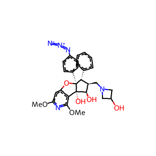 COc1cc2c(c(OC)n1)[C@]1(O)[C@H](O)[C@H](CN3CC(O)C3)[C@@H](c3ccccc3)[C@]1(c1ccc(N=[N+]=[N-])cc1)O2